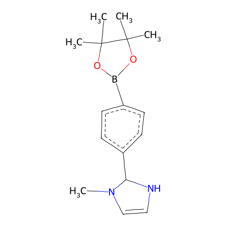 CN1C=CNC1c1ccc(B2OC(C)(C)C(C)(C)O2)cc1